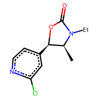 CCN1C(=O)O[C@H](c2ccnc(Cl)c2)[C@@H]1C